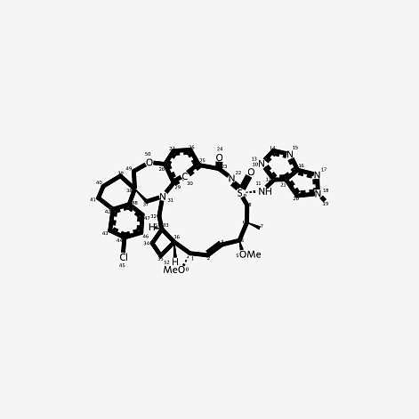 CO[C@H]1/C=C/[C@H](OC)[C@H](C)C[S@@](=O)(Nc2ncnc3nn(C)cc23)=NC(=O)c2ccc3c(c2)N(C[C@@H]2CC[C@H]21)C[C@@]1(CCCc2cc(Cl)ccc21)CO3